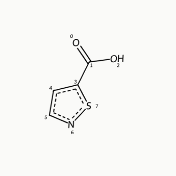 O=C(O)c1ccns1